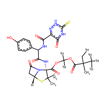 [2H]CC(C)(C(=O)OC([2H])([2H])OC(=O)[C@]1(NC(=O)C(NC(=O)c2n[nH]c(=S)[nH]c2=O)c2ccc(O)cc2)N2C(=O)C[C@H]2SC1(C)C)C([2H])([2H])[2H]